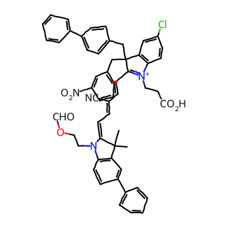 CC1(C)\C(=C/C=C(C#N)/C=C/C2=[N+](CCC(=O)O)c3ccc(Cl)cc3C2(Cc2ccc(-c3ccccc3)cc2)Cc2cccc([N+](=O)[O-])c2)N(CCOC=O)c2ccc(-c3ccccc3)cc21